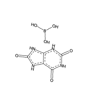 O=c1[nH]c(=O)c2[nH]c(=O)[nH]c2[nH]1.OB(O)O